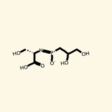 O=C(O)[C@H](CO)/N=[P+](\[O-])CC(O)CO